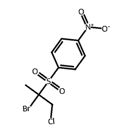 CC(Br)(CCl)S(=O)(=O)c1ccc([N+](=O)[O-])cc1